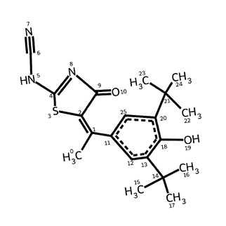 C/C(=C1\SC(NC#N)=NC1=O)c1cc(C(C)(C)C)c(O)c(C(C)(C)C)c1